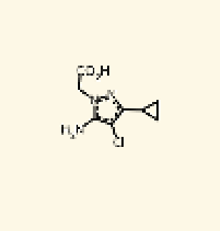 Nc1c(Cl)c(C2CC2)nn1CC(=O)O